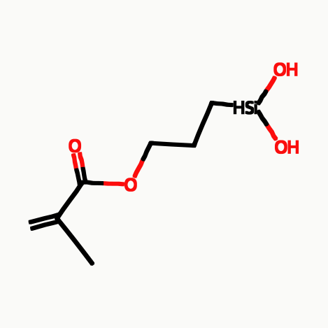 C=C(C)C(=O)OCCC[SiH](O)O